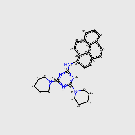 c1cc2ccc3ccc(Nc4nc(N5CCCCC5)nc(N5CCCCC5)n4)c4ccc(c1)c2c34